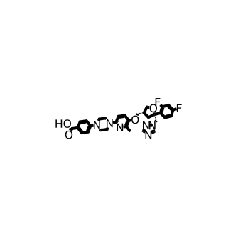 Cc1nc(N2CCN(c3ccc(C(=O)O)cc3)CC2)ccc1OC[C@@H]1CO[C@@](Cn2cncn2)(c2ccc(F)cc2F)C1